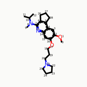 COc1cc2c3c(c(N(C)C(C)C)nc2cc1OCCCN1CCCC1)CCC3